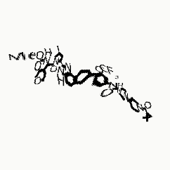 COC(=O)N[C@H](C(=O)N1C[C@@H](C)C[C@H]1c1nc2c(ccc3cc(-c4ccc(NC(=O)N5CCN(C6CCN(C(=O)[C@H]7CC7(C)C)CC6)CC5)cc4OC(F)(F)F)ccc32)[nH]1)C1CCOCC1